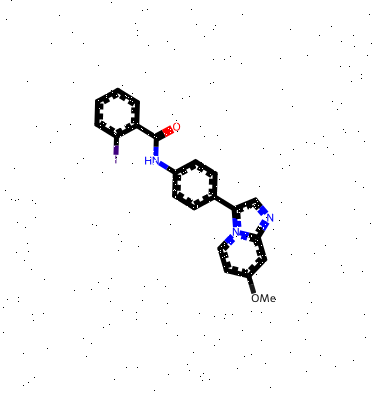 COc1ccn2c(-c3ccc(NC(=O)c4ccccc4I)cc3)cnc2c1